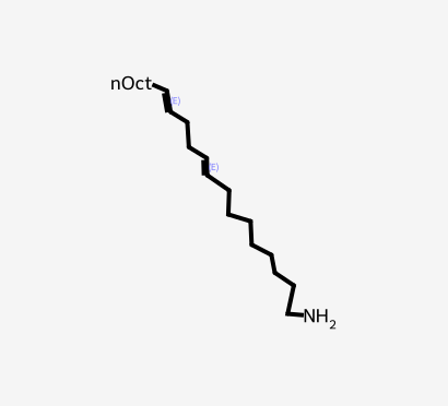 CCCCCCCC/C=C/CC/C=C/CCCCCCCCN